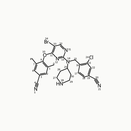 Cc1cc(C#N)cc(C)c1Oc1nc(N(Cc2ccc(C#N)cc2Cl)C2CCNCC2)ncc1Br